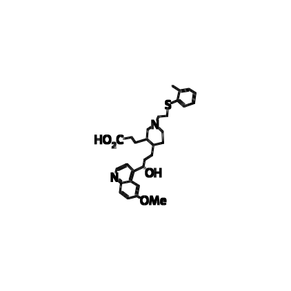 COc1ccc2nccc([C@@H](O)CCC3CCN(CCSc4ccccc4C)CC3CCC(=O)O)c2c1